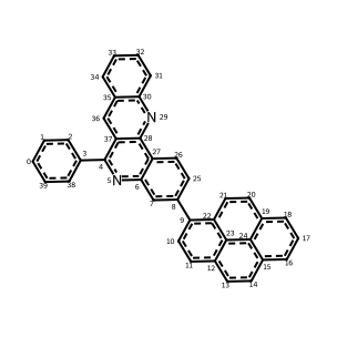 c1ccc(-c2nc3cc(-c4ccc5ccc6cccc7ccc4c5c67)ccc3c3nc4ccccc4cc23)cc1